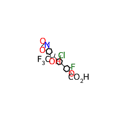 CC(c1ccc(-c2ccc(OC(=O)O)c(F)c2)cc1Cl)C(O)(c1ccc2c(c1)OCC(=O)N2C)C(F)(F)F